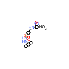 O=C(Nc1c2c(cc3c1CCC3)CCC2)NS(=O)(=O)c1ccc(CCNc2ccc([N+](=O)[O-])c3nonc23)cc1